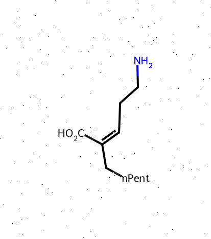 CCCCCCC(=CCCN)C(=O)O